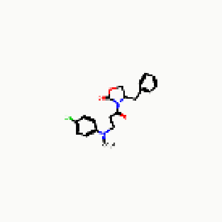 O=C(O)N(CCC(=O)N1C(=O)OCC1Cc1ccccc1)c1ccc(Cl)cc1